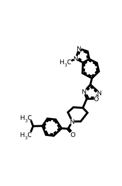 CC(C)c1ccc(C(=O)N2CCC(c3nc(-c4ccc5cnn(C)c5c4)no3)CC2)cc1